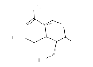 COC(=O)C1=COC(C)C(CO)C1CC(=O)O